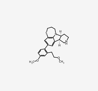 COCCc1cc(OC)ccc1-c1cc2c3c(c1)[C@@H]1CNCC[C@@H]1N3CCCS2